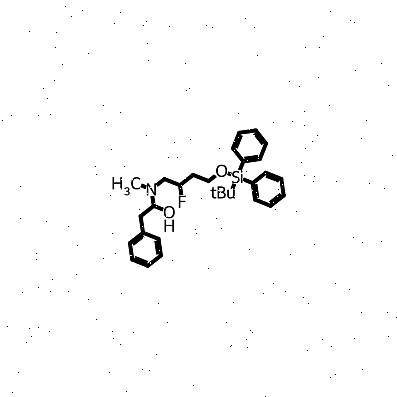 CN(CC(F)CCO[Si](c1ccccc1)(c1ccccc1)C(C)(C)C)C(O)Cc1ccccc1